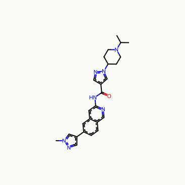 CC(C)N1CCC(n2cc(C(=O)Nc3cc4cc(-c5cnn(C)c5)ccc4cn3)cn2)CC1